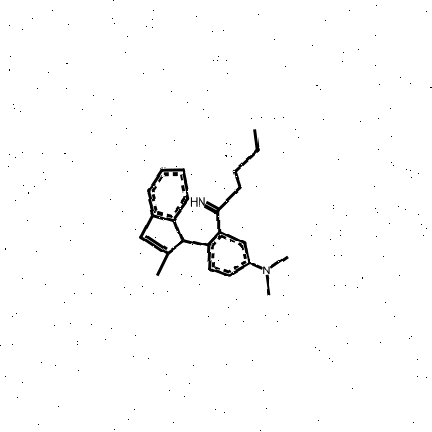 CCCCC(=N)c1cc(N(C)C)ccc1C1C(C)=Cc2ccccc21